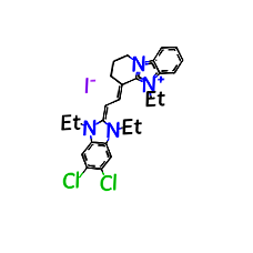 CCN1C(=CC=C2CCCn3c2[n+](CC)c2ccccc23)N(CC)c2cc(Cl)c(Cl)cc21.[I-]